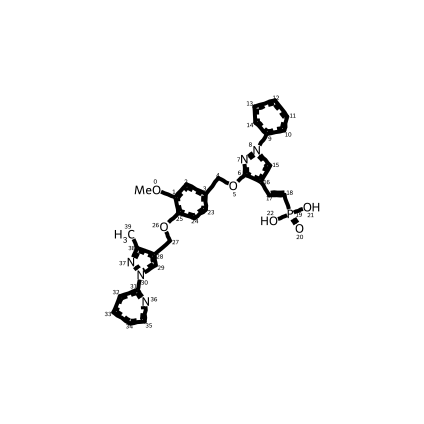 COc1cc(COc2nn(-c3ccccc3)cc2C=CP(=O)(O)O)ccc1OCc1cn(-c2ccccn2)nc1C